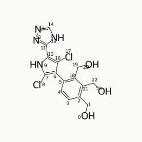 OCc1ccc(-c2c(Cl)[nH]c(-c3nnc[nH]3)c2Cl)c(CO)c1CO